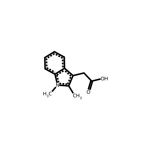 Cc1c(CC(=O)O)c2ccccc2n1C